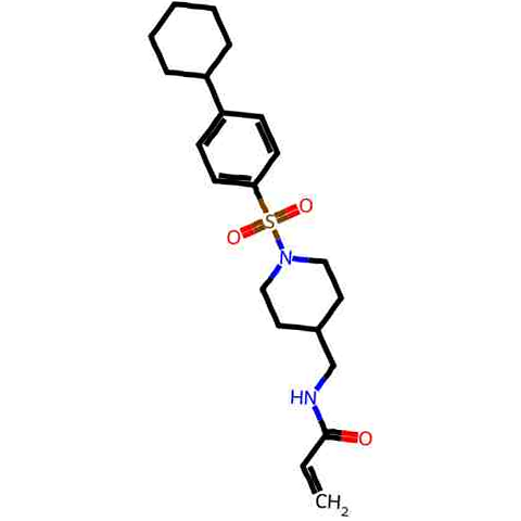 C=CC(=O)NCC1CCN(S(=O)(=O)c2ccc(C3CCCCC3)cc2)CC1